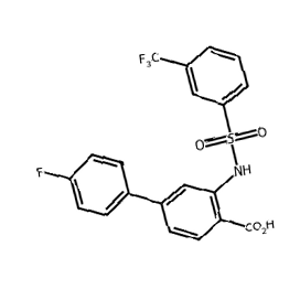 O=C(O)c1ccc(-c2ccc(F)cc2)cc1NS(=O)(=O)c1cccc(C(F)(F)F)c1